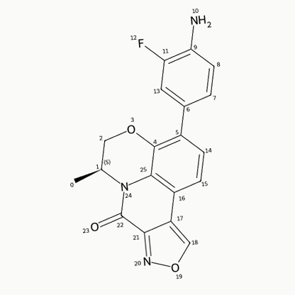 C[C@H]1COc2c(-c3ccc(N)c(F)c3)ccc3c4conc4c(=O)n1c23